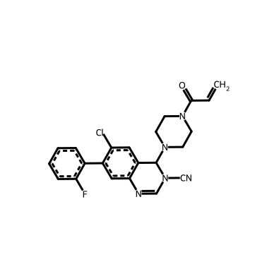 C=CC(=O)N1CCN(C2c3cc(Cl)c(-c4ccccc4F)cc3N=CN2C#N)CC1